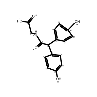 O=C(O)CNC(=O)C(c1ccc(O)cc1)c1ccc(O)cc1